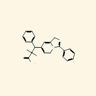 COC(=O)C(C)(C)C(C1=CCN2C(=C1)CN=C2c1ccccc1)c1ccccc1